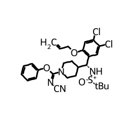 C=CCOc1cc(Cl)c(Cl)cc1[C@H](N[S@@+]([O-])C(C)(C)C)C1CCN(/C(=N\C#N)Oc2ccccc2)CC1